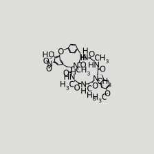 COc1ccc(C[C@H]2C(=O)N[C@@H](C)C(=O)N[C@H]3Cc4ccc(cc4)Oc4cc(cc([N+](=O)[O-])c4O)C[C@@H](C(=O)NC(C)C(=O)N[C@@H](C)C(=O)N2C)N(C)C3=O)cc1